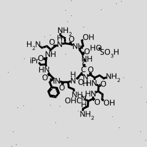 CC(C)CC1NC(=O)C(Cc2ccccc2)NC(=O)C(CCN)NC(=O)C(NC(=O)C(CCN)NC(=O)C(CCO)NC(=O)C(CCN)NC=O)CCNC(=O)C(CCO)NC(=O)C(CCN)NC(=O)C(CCN)NC1=O.O=S(=O)(O)O